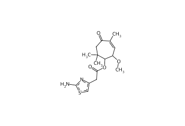 COC1C=C(C)C(=O)CC(C)(C)C1OC(=O)Cc1csc(N)n1